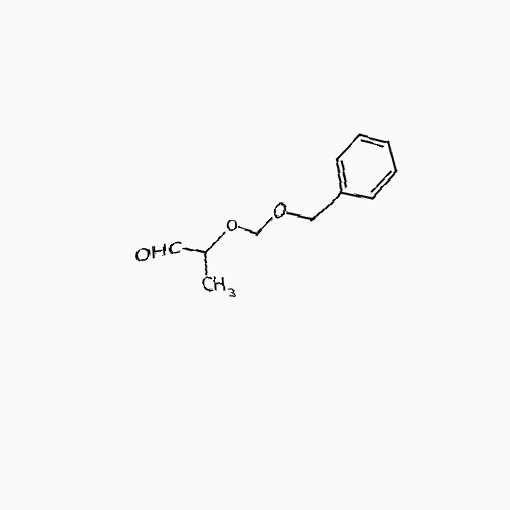 CC(C=O)OCOCc1ccccc1